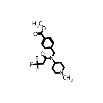 COC(=O)c1ccc(CN(C(=O)CC(F)(F)F)C2CCN(C)CC2)cc1